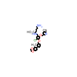 Cc1c(COc2cc(OCc3cncc(C#N)c3)c(CN[C@@H](CCCCN)C(=O)O)cc2Cl)cccc1-c1ccc2c(c1)OCCO2